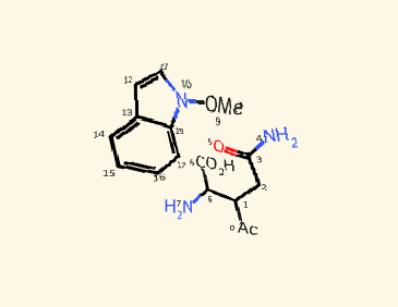 CC(=O)C(CC(N)=O)C(N)C(=O)O.COn1ccc2ccccc21